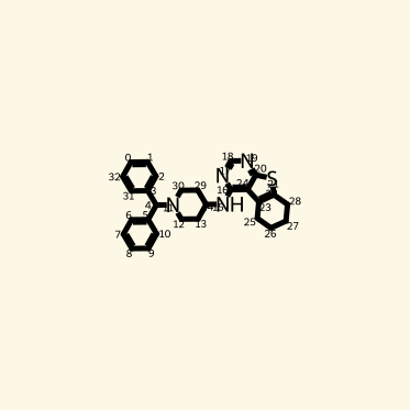 c1ccc(C(c2ccccc2)N2CCC(Nc3ncnc4sc5c(c34)CCCC5)CC2)cc1